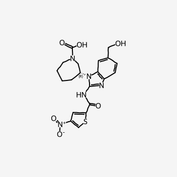 O=C(Nc1nc2ccc(CO)cc2n1[C@@H]1CCCCN(C(=O)O)C1)c1cc([N+](=O)[O-])cs1